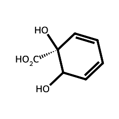 O=C(O)[C@]1(O)C=CC=CC1O